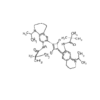 CC(C)N1CCCc2cc(C3=C([O-])/C(=c4\cc5c(cc4NC(=O)C(C)(C)C)=[N+](C(C)C)CCC5)C3=O)c(NC(=O)C(C)(C)C)cc21